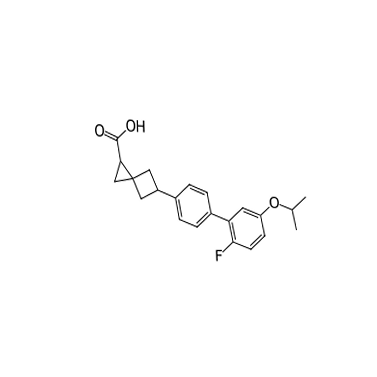 CC(C)Oc1ccc(F)c(-c2ccc(C3CC4(C3)CC4C(=O)O)cc2)c1